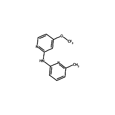 Cc1cccc(Nc2cc(OC(F)(F)F)ccn2)n1